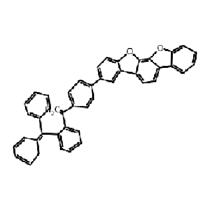 C=C(c1ccc(-c2ccc3oc4c(ccc5c6ccccc6oc54)c3c2)cc1)c1ccccc1/C(=C1/C=CC=CC1)c1ccccc1